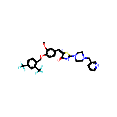 COc1cc(/C=C2/SC(N3CCN(Cc4cccnc4)CC3)=NC2=O)ccc1OCc1ccc(C(F)(F)F)cc1C(F)(F)F